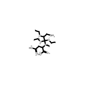 CCOC(C[SiH3])C(OCC)(OCC)N(C)C(CC(=O)O)C(=O)O